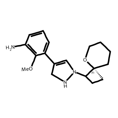 COc1c(N)cccc1C1=CN(C2CC[C@]23CCCCO3)NC1